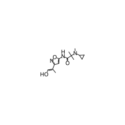 C/C(=C\O)c1cc(NC(=O)C(C)(C)N(C)C2CC2)on1